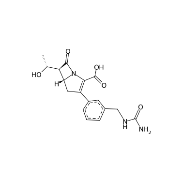 C[C@@H](O)[C@H]1C(=O)N2C(C(=O)O)=C(c3cccc(CNC(N)=O)c3)C[C@H]12